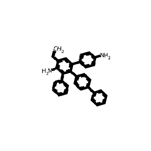 C=Cc1cc(-c2ccc(N)cc2)c(-c2ccc(-c3ccccc3)cc2)c(-c2ccccc2)c1N